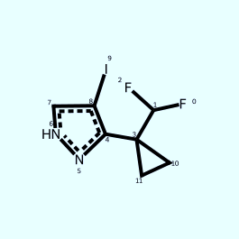 FC(F)C1(c2n[nH]cc2I)CC1